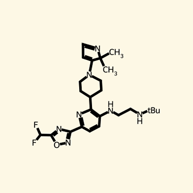 CC(C)(C)NCCNc1ccc(-c2noc(C(F)F)n2)nc1C1CCN(C2=CC=NC2(C)C)CC1